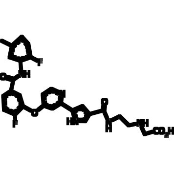 Cc1ccc(F)c(NC(=O)c2ccc(F)c(Oc3ccnc(-c4cc(C(=O)NCCNCC(=O)O)c[nH]4)c3)c2)c1